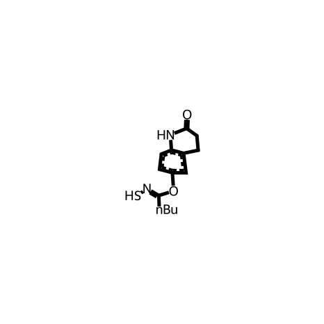 CCCCC(=NS)Oc1ccc2c(c1)CCC(=O)N2